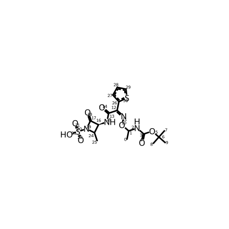 CC(NC(=O)OC(C)(C)C)ON=C(C(=O)N[C@@H]1C(=O)N(S(=O)(=O)O)C1C)c1cccs1